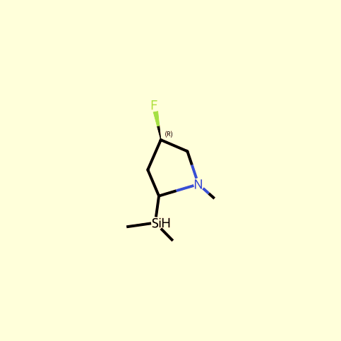 CN1C[C@H](F)CC1[SiH](C)C